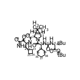 CC(C)(C)OC(=O)[C@H](NC(=O)N[C@H](C(=O)N1C[C@H]2[C@@H]([C@H]1C(=O)NC(CC1CCC1)C(=O)C(N)=O)C2(C)C)C1CCCCC1)C(C)(C)C